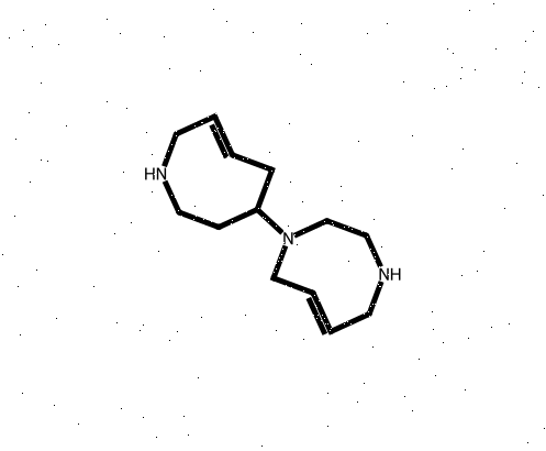 C1=C/CC(N2C/C=C/CNCC2)CCNC/1